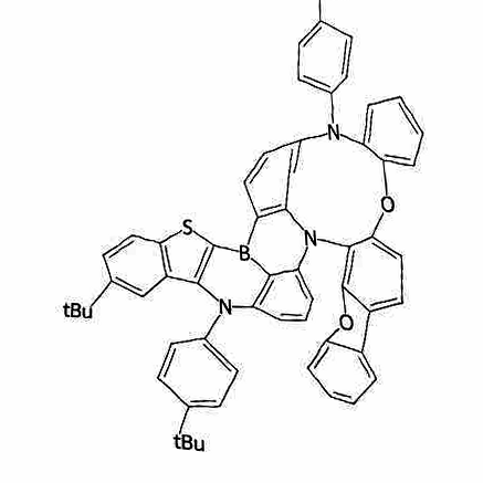 CC(C)(C)c1ccc(N2c3ccc4c(c3)N(c3cccc5c3B4c3sc4ccc(C(C)(C)C)cc4c3N5c3ccc(C(C)(C)C)cc3)c3c(ccc4c3oc3ccccc34)Oc3ccccc32)cc1